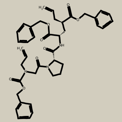 C=CC[C@H](C[C@H](NC(=O)[C@@H]1CCCN1C(=O)CN(CC=C)C(=O)OCc1ccccc1)C(=O)OCc1ccccc1)C(=O)OCc1ccccc1